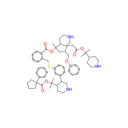 CC(C)(OC(=O)CCC(COc1ccccc1)CC(C)(OC(=O)c1ccccc1CSc1cccc(C2CNCCC2C(C)(C)OC(=O)C2(c3ccccc3)CCCC2)c1)C1CCNCC1)C1CCNCC1